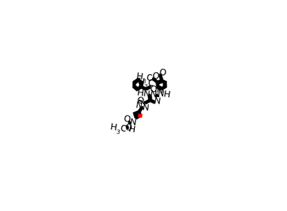 COC(=O)NC12CC(c3noc(-c4cnc(Nc5ccc6c(c5)C(C)(C)OC6=O)nc4NC(CO)c4ccccc4)n3)(C1)C2